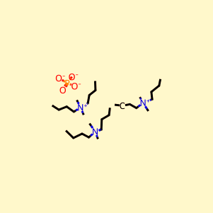 CCCC[N+](C)(C)CCCC.CCCC[N+](C)(C)CCCC.CCCC[N+](C)(C)CCCC.O=P([O-])([O-])[O-]